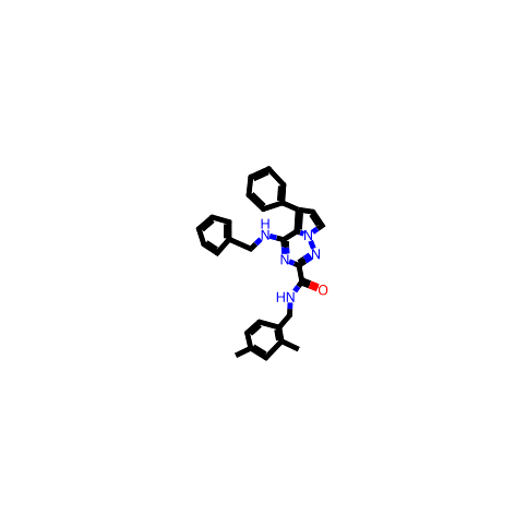 Cc1ccc(CNC(=O)c2nc(NCc3ccccc3)c3c(-c4ccccc4)ccn3n2)c(C)c1